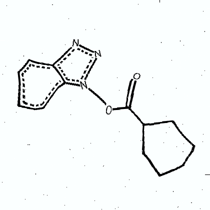 O=C(On1nnc2ccccc21)C1CCCCC1